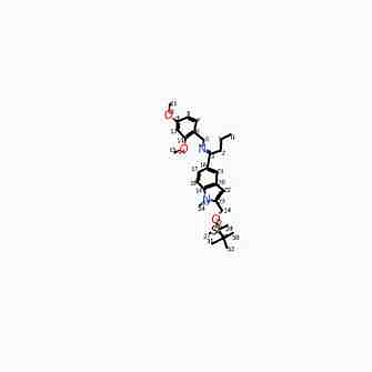 CCC/C(=N\Cc1ccc(OC)cc1OC)c1ccc2c(c1)cc(CO[Si](C)(C)C(C)(C)C)n2C